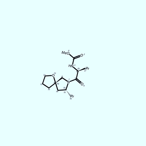 COC(=O)N[C@H](C(=O)N1C[C@]2(CCCO2)C[C@H]1C(C)C)C(C)C